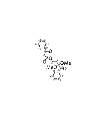 COC(CCOC(=O)CC(=O)c1ccccc1)(OC)C(=O)c1ccccc1